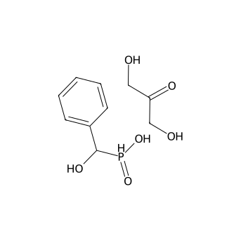 O=C(CO)CO.O=[PH](O)C(O)c1ccccc1